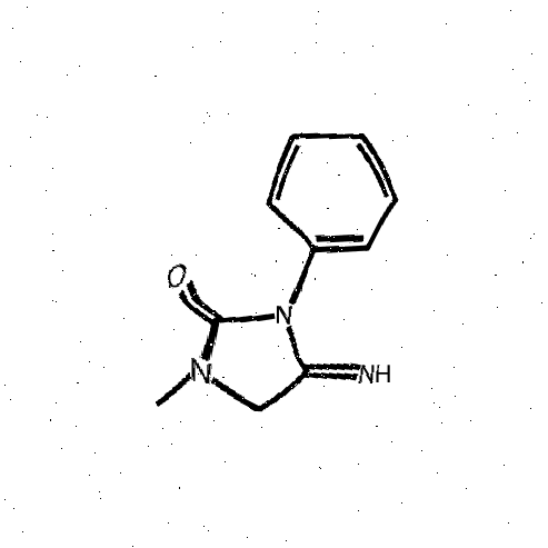 CN1CC(=N)N(c2ccccc2)C1=O